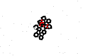 c1ccc(N(c2ccccc2)c2ccc3c(c2)C2(c4ccccc4-3)c3ccccc3-c3c2cc(N(c2ccccc2)c2cccc4c2C2(c5ccccc5-c5ccccc52)c2ccccc2-4)c2ccccc32)cc1